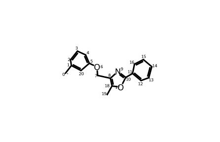 [CH2]c1cccc(OCc2nc(-c3ccccc3)oc2C)c1